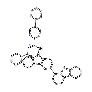 N=C(/C=C(\Nn1c2ccccc2c2cc(-c3cccc4c3sc3ccccc34)ccc21)c1ccc(-c2ccccc2)cc1)c1ccccc1